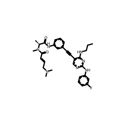 CCCNc1nc(Nc2cccc(F)c2)ncc1C#Cc1cccc(NC(=O)[C@H](C)N(C)C(=O)C=CCN(C)C)c1